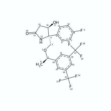 C[C@@H](OC[C@]1(c2ccc(F)cc2)NC(=O)C[C@H]1O)c1cc(C(F)(F)F)cc(C(F)(F)F)c1